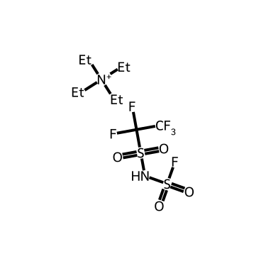 CC[N+](CC)(CC)CC.O=S(=O)(F)NS(=O)(=O)C(F)(F)C(F)(F)F